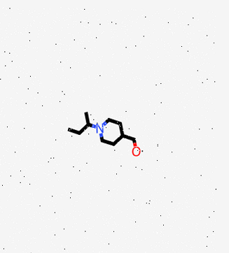 CCC(C)N1CCC(C[O])CC1